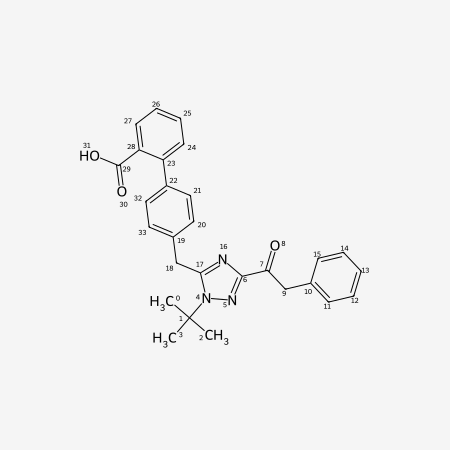 CC(C)(C)n1nc(C(=O)Cc2ccccc2)nc1Cc1ccc(-c2ccccc2C(=O)O)cc1